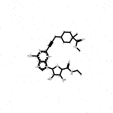 CCNC(=O)C1OC(n2cnc3c(N)nc(C#CCC4CCC(C)(C(=O)OC)CC4)nc32)C(O)C1O